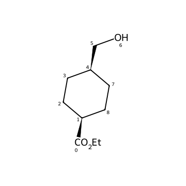 CCOC(=O)[C@H]1CC[C@@H](CO)CC1